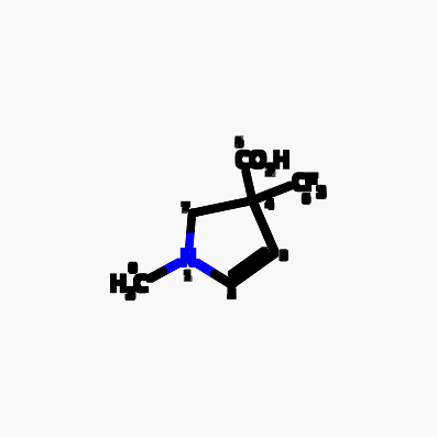 CN1C=CC(C(=O)O)(C(F)(F)F)C1